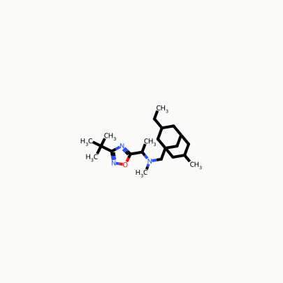 CCC1CC2CC(C)CC(CN(C)C(C)c3nc(C(C)(C)C)no3)(C1)C2